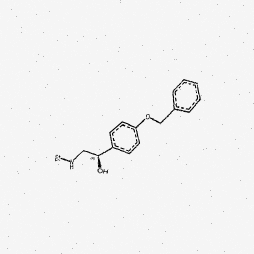 CCNC[C@H](O)c1ccc(OCc2ccccc2)cc1